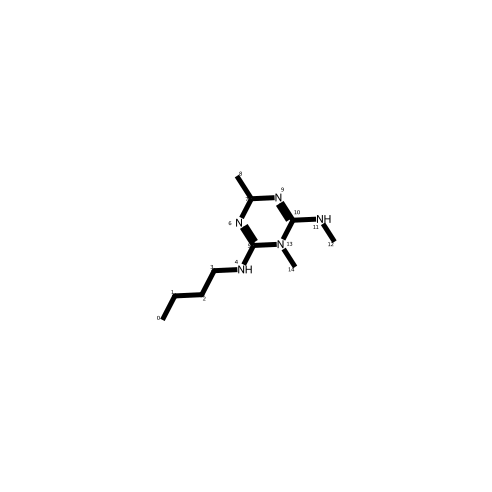 CCCCNC1=NC(C)N=C(NC)N1C